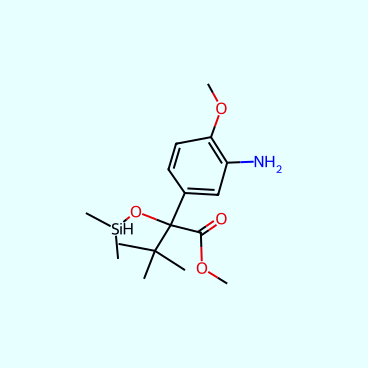 COC(=O)C(O[SiH](C)C)(c1ccc(OC)c(N)c1)C(C)(C)C